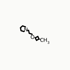 C[C@H]1C[C@H](OCCCN2CCCCC2)C1